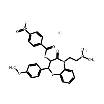 COc1ccc(C2Sc3ccccc3N(CCN(C)C)C(=O)C2OC(=O)c2ccc([N+](=O)[O-])cc2)cc1.Cl